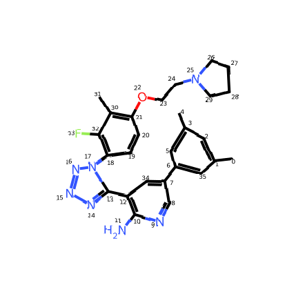 Cc1cc(C)cc(-c2cnc(N)c(-c3nnnn3-c3ccc(OCCN4CCCC4)c(C)c3F)c2)c1